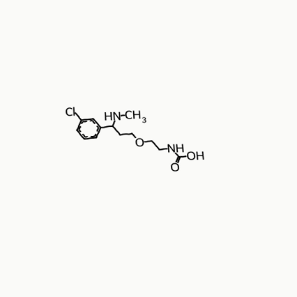 CNC(CCOCCNC(=O)O)c1cccc(Cl)c1